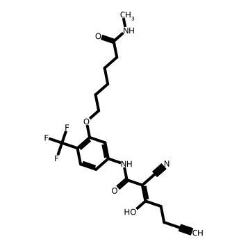 C#CCC/C(O)=C(\C#N)C(=O)Nc1ccc(C(F)(F)F)c(OCCCCCC(=O)NC)c1